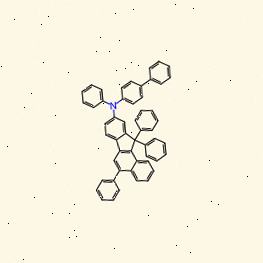 c1ccc(-c2ccc(N(c3ccccc3)c3ccc4c(c3)C(c3ccccc3)(c3ccccc3)c3c-4cc(-c4ccccc4)c4ccccc34)cc2)cc1